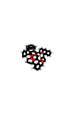 c1ccc(N(c2ccccc2-c2cccc3ccccc23)c2ccccc2-c2cccc3cccc(C4CCCCC4)c23)c(-c2ccc3c(c2)C2(c4ccccc4-3)C3CC4CC3CC42)c1